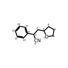 N#CC(CC1CCCO1)c1ccccc1